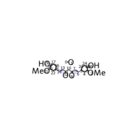 C=O.COc1cc(/C=C/C(=O)CC(=O)/C=C/c2ccc(O)c(OC)c2)ccc1O